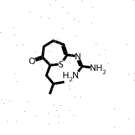 CC(C)CC1SC(N=C(N)N)=CCCC1=O